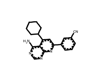 N#Cc1cccc(-c2cc(C3CCCCC3)c3c(N)ncnc3n2)c1